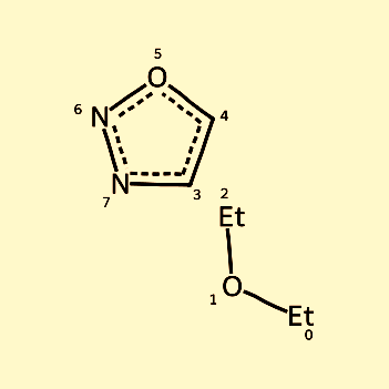 CCOCC.c1conn1